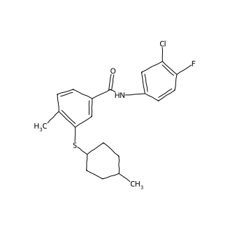 Cc1ccc(C(=O)Nc2ccc(F)c(Cl)c2)cc1SC1CCC(C)CC1